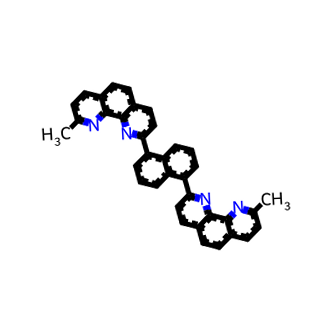 Cc1ccc2ccc3ccc(-c4cccc5c(-c6ccc7ccc8ccc(C)nc8c7n6)cccc45)nc3c2n1